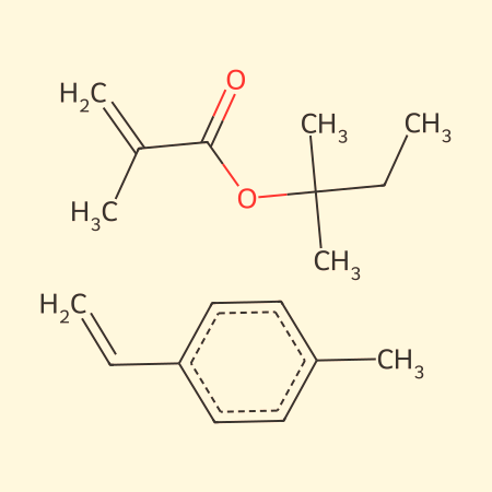 C=C(C)C(=O)OC(C)(C)CC.C=Cc1ccc(C)cc1